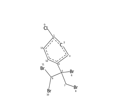 Clc1ccc(C(Br)(CBr)C(Br)Br)cc1